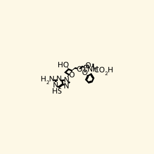 C[C@H](NP(=O)(COC[C@H]1O[C@@H](n2cnc3c(S)nc(N)nc32)C[C@@H]1O)Oc1ccccc1)C(=O)O